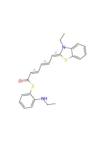 CCNc1ccccc1SC(=O)/C=C/C=C/C=C1\Sc2ccccc2N1CC